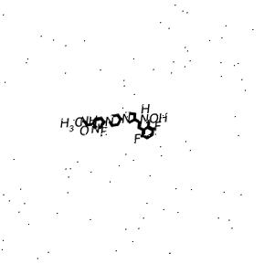 CNC(=O)c1ccc(N2CCC(N3CCC(C4=Cc5c(F)ccc(F)c5C(O)N4)C3)CC2)c(F)n1